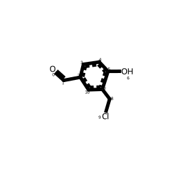 O=Cc1ccc(O)c(CCl)c1